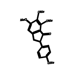 COc1ccc(C2Cc3cc(OC)c(OC)c(OC)c3C2=O)cc1